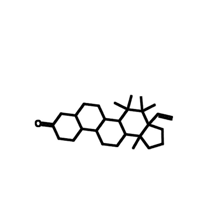 C=CC12CCCC1(C)C1CCC3C4CCC(=O)CC4CCC3C1C(C)(C)C2(C)C